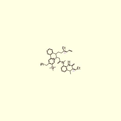 C=C/C=C(\CC)CCC1c2ccccc2-c2cc(CC(C)C)c([Si](C)(C)C)c[n+]2C1CC(=C)N(C)c1cccc2c1NC(=C)/C(=C\CC)C2C